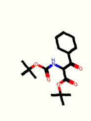 CC(C)(C)OC(=O)NC(C(=O)OC(C)(C)C)C(=O)C1CCCCC1